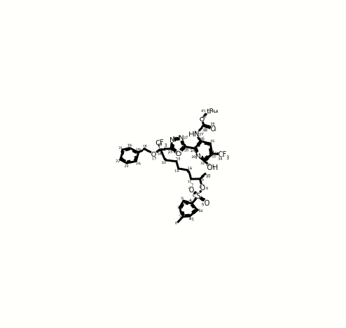 Cc1ccc(S(=O)(=O)OC(C)CCCCC[C@@](OCc2ccccc2)(c2nnc(-c3nc(O)c(C(F)(F)F)cc3NC(=O)OC(C)(C)C)o2)C(F)(F)F)cc1